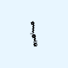 O=C(C=Cc1ccc(NCCCCCCCC2CCCC2)cc1)Oc1cccnc1